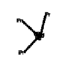 CC(C)CCCCCCCCCCCCCCCCCOC(=O)CC(O)(CC(=O)OCCCCCCCCCCCCCCCCCC(C)C)C(=O)OCCCCCCCCCCCCCCCCCC(C)C